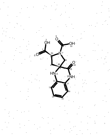 O=C(O)[C@@H]1C[C@]2(CN1C(=O)O)Nc1ccccc1NC2=O